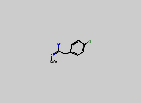 CO/N=C(/N)Cc1ccc(Cl)cc1